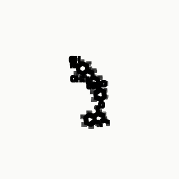 Cc1cc(COc2ccc(S(=O)(=O)CC(C=C3CCC(=NO)CC3)N(O)C=O)cc2)c2ccccc2n1